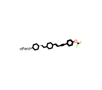 CCCCC[C@H]1CC[C@H](CCC2CCC(/C=C/C#Cc3ccc(OC(F)F)cc3)CC2)CC1